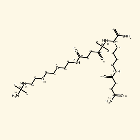 C=C(N)[C@H](CCCCNC(=O)CCC(N)=O)NC(C)(C)C(=O)CCC(=O)NCCOCCOCCNC(C)(C)N